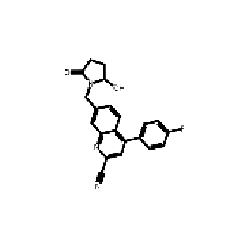 N#Cc1cc(-c2ccc(F)cc2)c2ccc(CN3C(=O)CCC3O)cc2n1